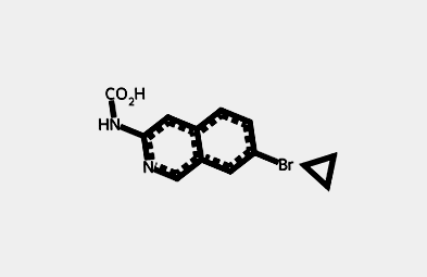 C1CC1.O=C(O)Nc1cc2ccc(Br)cc2cn1